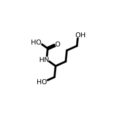 O=C(O)NC(CO)CCCO